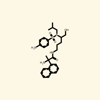 CC(C)CN(C(CO)CCCNC(=O)C(C)(N)c1cccc2ccccc12)S(=O)(=O)c1ccc(N)cc1